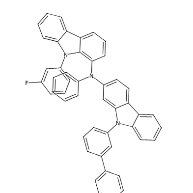 Fc1cccc(-n2c3ccccc3c3cccc(N(c4ccccc4)c4ccc5c6ccccc6n(-c6cccc(-c7ccccc7)c6)c5c4)c32)c1